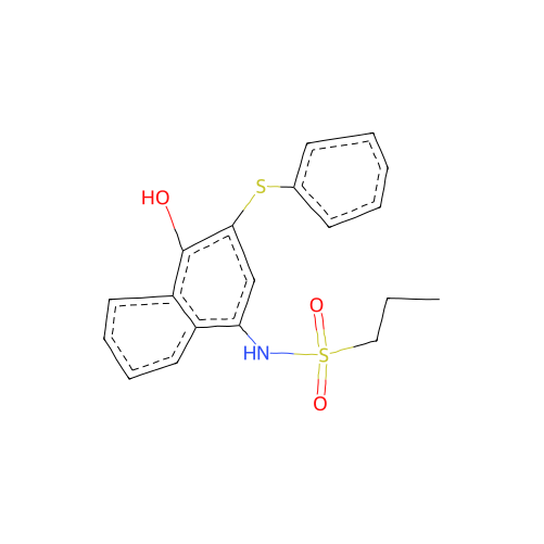 CCCS(=O)(=O)Nc1cc(Sc2ccccc2)c(O)c2ccccc12